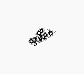 Cc1cc(C)c(-c2ccc3c(c2)C(C)(C)c2cc(/C=C4\C(=O)Oc5ccccc5C4=O)sc2N3c2cccc3ccccc23)c(C)c1